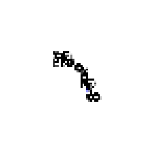 CCC(CC)(c1ccc(C)cc1)c1ccc(-c2ccc(N(C)c3ccc(OC(=O)/C=C/c4cccc5ccccc45)cc3)cc2)cc1